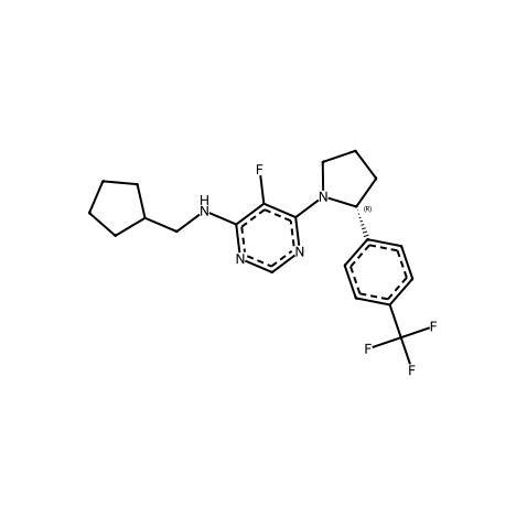 Fc1c(NCC2CCCC2)ncnc1N1CCC[C@@H]1c1ccc(C(F)(F)F)cc1